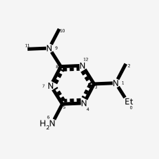 CCN(C)c1nc(N)nc(N(C)C)n1